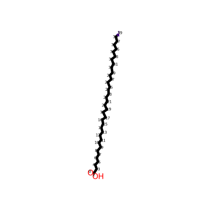 O=C(O)CCCCCCCCCCCCCCCCCCCCCCCCCCCCCCCCCCCCI